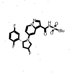 CC(C)(C)S(=O)(=O)NC(=O)c1cnn2ccc(N3CC(F)C[C@@H]3c3cc(F)ccc3F)cc12